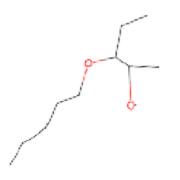 CCCCCOC(CC)C(C)[O]